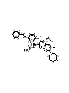 CC(C)C[C@H](NC(=O)N1CCCCCC1)C(=O)N[C@@H](Cc1ccc(OCc2ccccc2)cc1)C(=O)NCCC#N